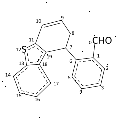 O=Cc1ccccc1C1CC=Cc2sc3ccccc3c21